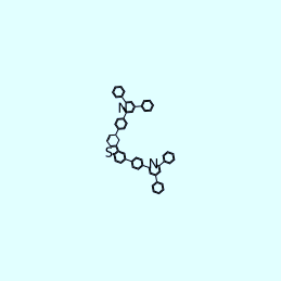 C1=CC(c2ccc(-c3cc(-c4ccccc4)cc(-c4ccccc4)n3)cc2)Cc2c1sc1ccc(-c3ccc(-c4cc(-c5ccccc5)cc(-c5ccccc5)n4)cc3)cc21